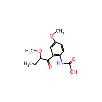 CCC(OC)C(=O)c1cc(OC)ccc1NC(=O)O